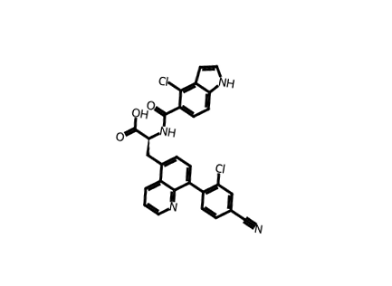 N#Cc1ccc(-c2ccc(C[C@H](NC(=O)c3ccc4[nH]ccc4c3Cl)C(=O)O)c3cccnc23)c(Cl)c1